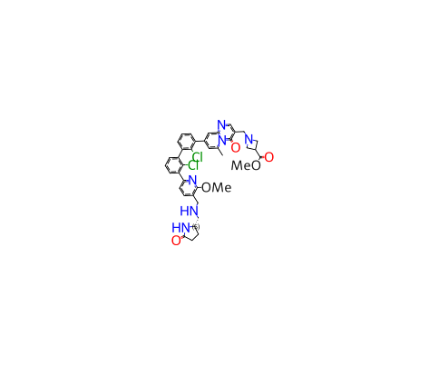 COC(=O)C1CN(Cc2cnc3cc(-c4cccc(-c5cccc(-c6ccc(CNC[C@@H]7CCC(=O)N7)c(OC)n6)c5Cl)c4Cl)cc(C)n3c2=O)C1